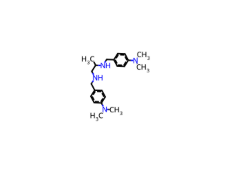 CC(CNCc1ccc(N(C)C)cc1)NCc1ccc(N(C)C)cc1